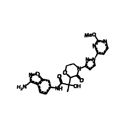 COc1nccc(-n2ccc(N3CCOC(C(C)(O)C(=O)Nc4ccc5c(N)noc5c4)C3=O)n2)n1